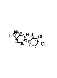 O[C@@H]1[C@H](O)[C@H](O)CO[C@H]1c1ncc2[nH]cnc2n1